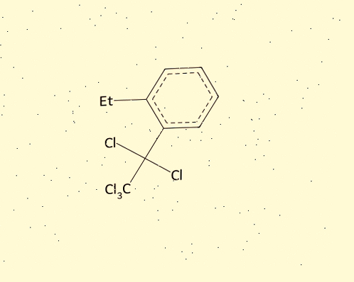 [CH2]Cc1ccccc1C(Cl)(Cl)C(Cl)(Cl)Cl